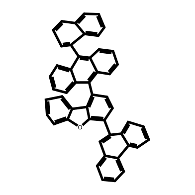 c1ccc2c(-c3c4ccccc4c(-c4ccc(-c5cc6ccccc6c6ccccc56)c5oc6ccccc6c45)c4ccccc34)cccc2c1